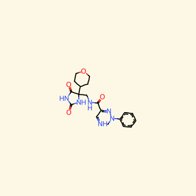 CN(/N=C(\C=N)C(=O)NCC1(C2CCOCC2)NC(=O)NC1=O)c1ccccc1